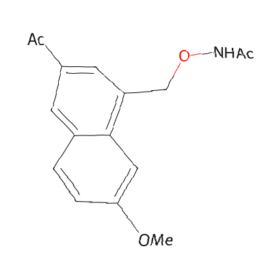 COc1ccc2cc(C(C)=O)cc(CONC(C)=O)c2c1